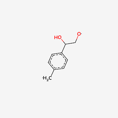 [CH2]c1ccc(C(O)C[O])cc1